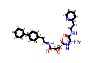 CCC[C@H](NC(=O)[C@@H]1O[C@H]1C(=O)NCCc1ccc(-c2ccccc2)cc1)C(=O)NCCc1ccccn1